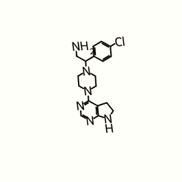 NCC(c1ccc(Cl)cc1)N1CCN(c2ncnc3c2CCN3)CC1